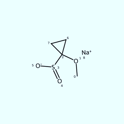 COC1(S(=O)[O-])CC1.[Na+]